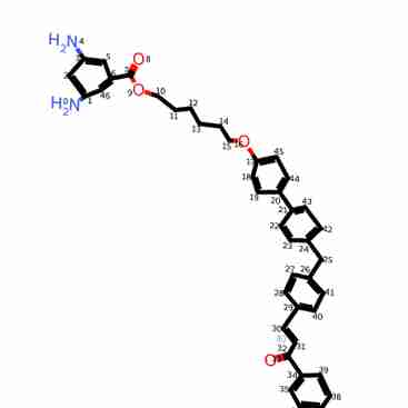 Nc1cc(N)cc(C(=O)OCCCCCCOc2ccc(-c3ccc(Cc4ccc(/C=C/C(=O)c5ccccc5)cc4)cc3)cc2)c1